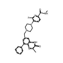 CNC(=O)c1ccc(N2CCN(Cc3cc(-c4ccccc4)c4nc(C)c(=O)[nH]c4c3)CC2)c(F)n1